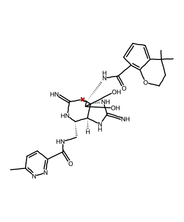 Cc1ccc(C(=O)NC[C@@H]2NC(=N)N3C[C@H](NC(=O)c4cccc5c4OCCC5(C)C)C(O)(O)[C@@]34NC(=N)N[C@@H]24)nn1